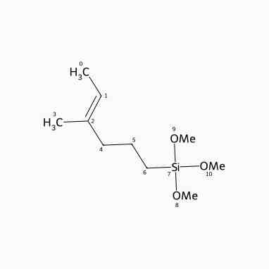 CC=C(C)CCC[Si](OC)(OC)OC